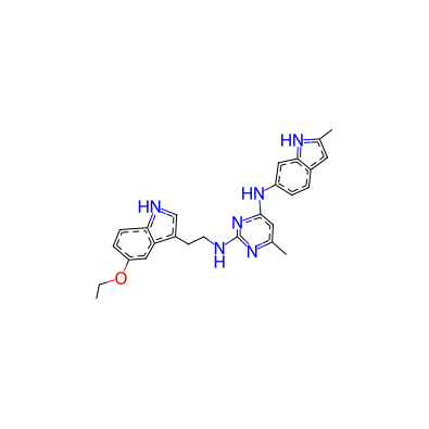 CCOc1ccc2[nH]cc(CCNc3nc(C)cc(Nc4ccc5cc(C)[nH]c5c4)n3)c2c1